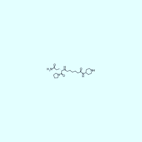 NC(=O)CC[C@H](NCCCCCC(=O)NC1CCNCC1)C(=O)N1CCCC1